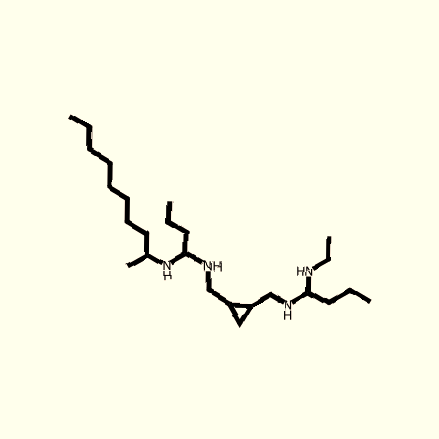 CCCCCCCCC(C)NC(CCC)NCC1CC1CNC(CCC)NCC